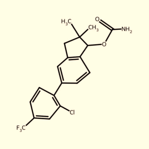 CC1(C)Cc2cc(-c3ccc(C(F)(F)F)cc3Cl)ccc2C1OC(N)=O